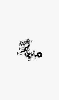 CC(C)[Si]1(C(C)C)OCC2OC(n3cnc4c(Cl)nc(NC(=O)c5ccccc5)nc43)[C@@](O)(CCO)C2O[Si](C(C)C)(C(C)C)O1